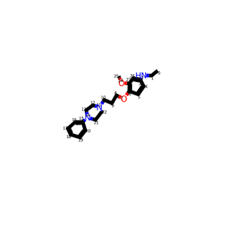 CCNc1ccc(OCCCN2CCN(c3ccccc3)CC2)c(OC)c1